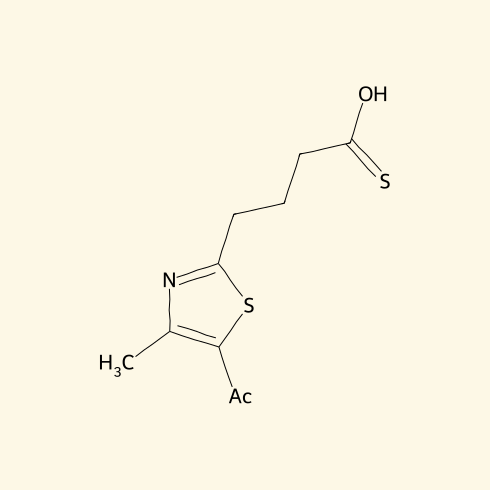 CC(=O)c1sc(CCCC(O)=S)nc1C